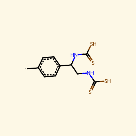 [CH2]c1ccc(C(CNC(=S)S)NC(=S)S)cc1